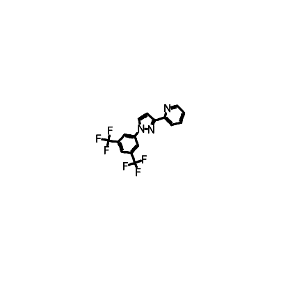 FC(F)(F)c1cc(-n2ccc(-c3ccccn3)n2)cc(C(F)(F)F)c1